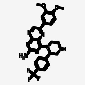 COc1ccc(-c2cnc3nc(N)nc(N4CCNCC4c4ccc(C(F)(F)F)cc4)c3n2)cc1OC